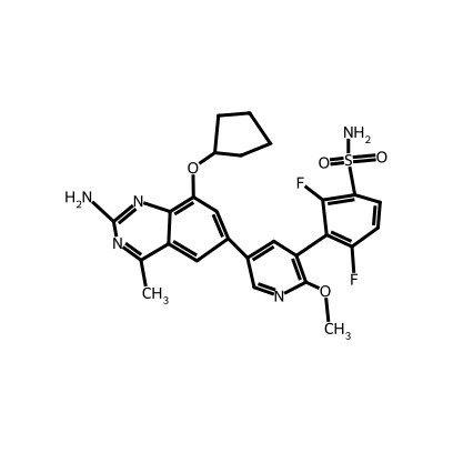 COc1ncc(-c2cc(OC3CCCC3)c3nc(N)nc(C)c3c2)cc1-c1c(F)ccc(S(N)(=O)=O)c1F